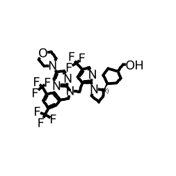 OCC1CCC([C@H]2CCCN2c2ncc(C(F)(F)F)cc2CN(Cc2cc(C(F)(F)F)cc(C(F)(F)F)c2)c2ncc(N3CCOCC3)cn2)CC1